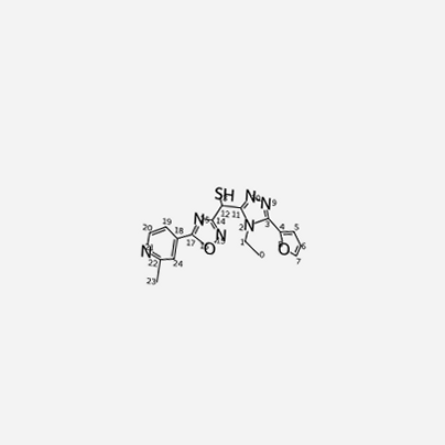 CCn1c(-c2ccco2)nnc1C(S)c1noc(-c2ccnc(C)c2)n1